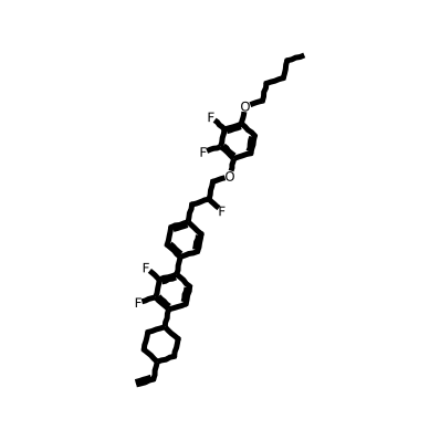 C=CC1CCC(c2ccc(-c3ccc(CC(F)COc4ccc(OCCCCC)c(F)c4F)cc3)c(F)c2F)CC1